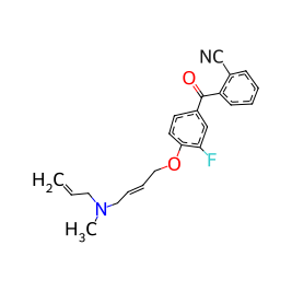 C=CCN(C)CC=CCOc1ccc(C(=O)c2ccccc2C#N)cc1F